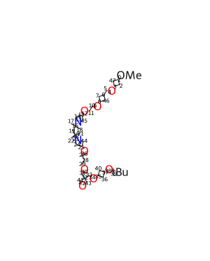 COC1CC(OCC2CC(OCCOC3CN(C(C)(C)CC(C)(C)N4CC(OCCCOCC5(COC6CC(OC(C)(C)C)C6)COC5)C4)C3)C2)C1